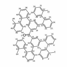 Cc1ccccc1-c1ccccc1-c1cc(C(=O)c2cc(-c3ccccc3-c3ccccc3C)cc(-c3ccccc3-c3ccccc3C)c2)cc(-c2ccccc2-c2ccccc2C)c1